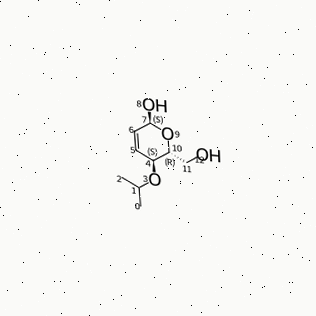 CC(C)O[C@H]1C=C[C@@H](O)O[C@@H]1CO